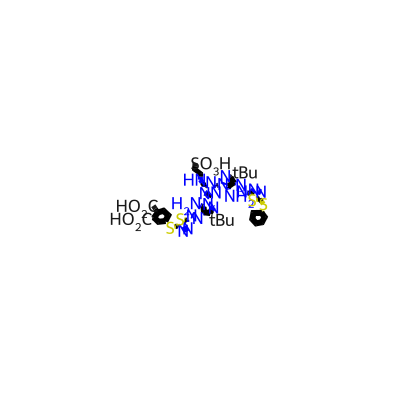 CC(C)(C)c1nn(-c2nc(NCCS(=O)(=O)O)nc(-n3nc(C(C)(C)C)c(N=Nc4nnc(Sc5ccc(C(=O)O)c(C(=O)O)c5)s4)c3N)n2)c(N)c1N=Nc1nnc(Sc2ccccc2)s1